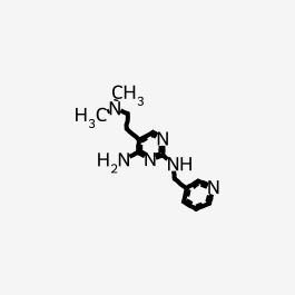 CN(C)CCc1cnc(NCc2cccnc2)nc1N